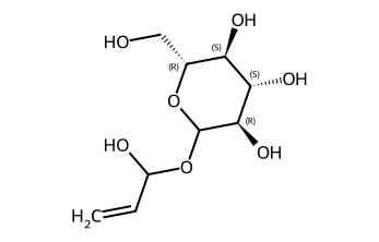 C=CC(O)OC1O[C@H](CO)[C@@H](O)[C@H](O)[C@H]1O